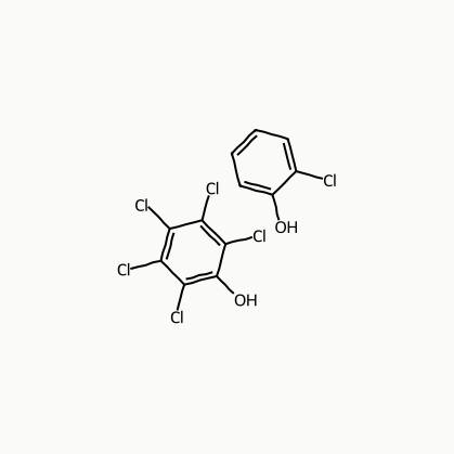 Oc1c(Cl)c(Cl)c(Cl)c(Cl)c1Cl.Oc1ccccc1Cl